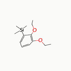 CCOc1cccc([Si](C)(C)C)c1OCC